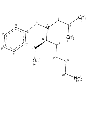 CC(C)CN(Cc1ccccc1)[C@H](CO)CCCCN